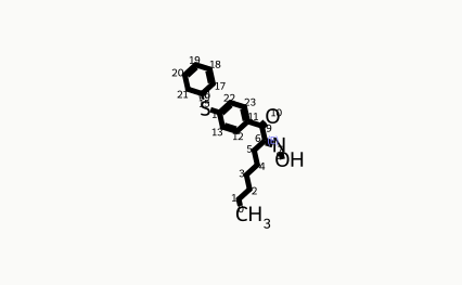 CCCCCC/C(=N\O)C(=O)c1ccc(S[C@H]2C=CC=CC2)cc1